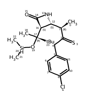 C[C@@H](C(=S)Cc1ccc(Cl)cc1)[C@H]1NC(=O)[C@@H]1[C@@](C)(O[SiH](C)C)C(C)(C)C